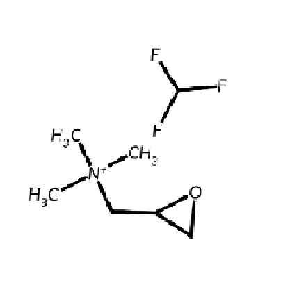 C[N+](C)(C)CC1CO1.FC(F)F